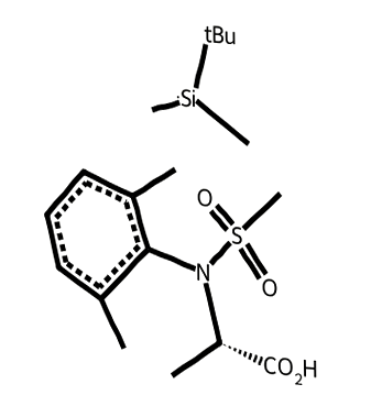 C[Si](C)C(C)(C)C.Cc1cccc(C)c1N([C@@H](C)C(=O)O)S(C)(=O)=O